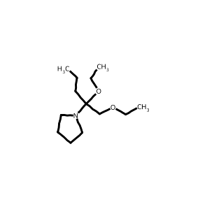 CCCC(COCC)(OCC)N1CCCC1